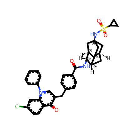 O=C(N[C@@H]1[C@@H]2C[C@@H]3C[C@H]1C[C@@](NS(=O)(=O)C1CC1)(C3)C2)c1ccc(Cc2cn(-c3ccccc3)c3cc(Cl)ccc3c2=O)cc1